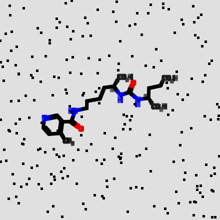 Cc1ccncc1C(=O)NCCCC[C@H](NC(=O)N[C@@H](CCC(=O)O)C(=O)O)C(=O)O